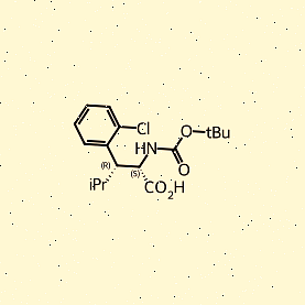 CC(C)[C@H](c1ccccc1Cl)[C@H](NC(=O)OC(C)(C)C)C(=O)O